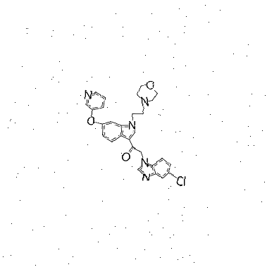 O=C(Cn1cnc2cc(Cl)ccc21)c1cn(CCN2CCOCC2)c2cc(Oc3cccnc3)ccc12